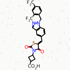 O=C(O)C1CC(N2C(=O)SC(=Cc3ccc4c(cnn4Cc4ccc(C(F)(F)F)cc4C(F)(F)F)c3)C2=O)C1